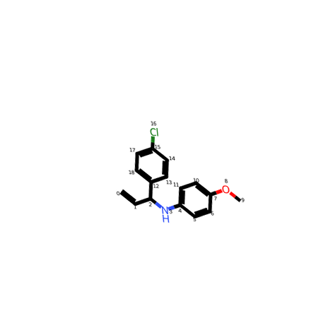 C=CC(Nc1ccc(OC)cc1)c1ccc(Cl)cc1